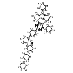 c1ccc(-c2ccc(-c3ccc4sc5c(-c6ccc(-c7nc(-c8ccccc8)nc(-c8cccc9c8c8ccccc8n9-c8ccccc8)n7)cc6)cccc5c4c3)cc2)cc1